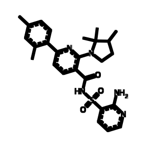 Cc1ccc(-c2ccc(C(=O)NS(=O)(=O)c3cccnc3N)c(N3CCC(C)C3(C)C)n2)c(C)c1